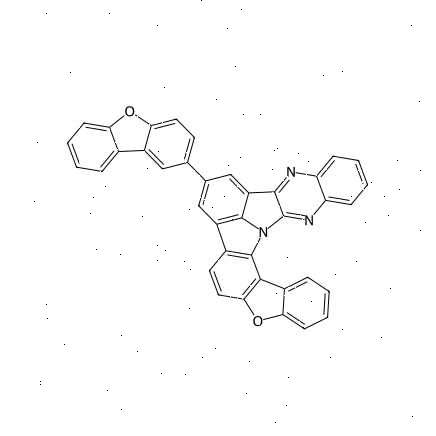 c1ccc2nc3c(nc2c1)c1cc(-c2ccc4oc5ccccc5c4c2)cc2c4ccc5oc6ccccc6c5c4n3c21